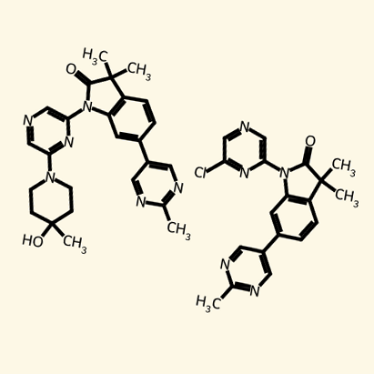 Cc1ncc(-c2ccc3c(c2)N(c2cncc(Cl)n2)C(=O)C3(C)C)cn1.Cc1ncc(-c2ccc3c(c2)N(c2cncc(N4CCC(C)(O)CC4)n2)C(=O)C3(C)C)cn1